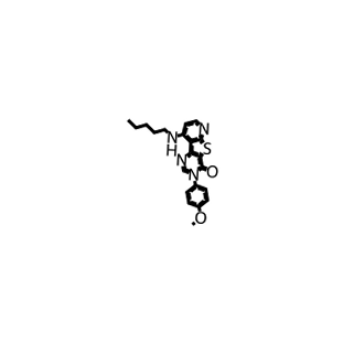 CCCCCNc1ccnc2sc3c(=O)n(-c4ccc(OC)cc4)cnc3c12